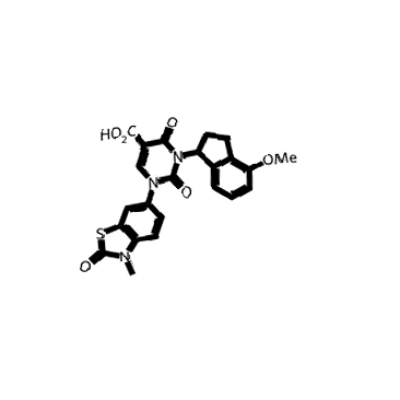 COc1cccc2c1CCC2n1c(=O)c(C(=O)O)cn(-c2ccc3c(c2)sc(=O)n3C)c1=O